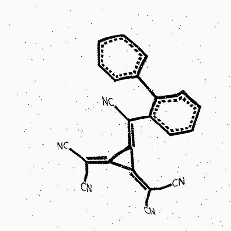 N#CC(C#N)=C1C(=C(C#N)C#N)C1=C(C#N)c1ccccc1-c1ccccc1